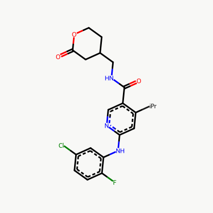 CC(C)c1cc(Nc2cc(Cl)ccc2F)ncc1C(=O)NCC1CCOC(=O)C1